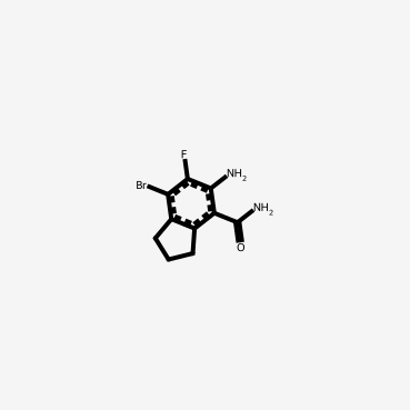 NC(=O)c1c(N)c(F)c(Br)c2c1CCC2